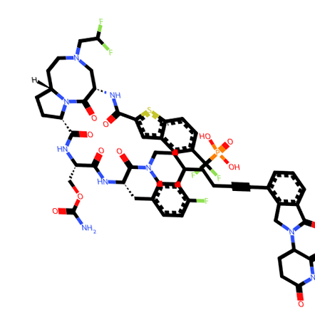 NC(=O)OC[C@H](NC(=O)[C@@H]1CC[C@@H]2CCN(CC(F)F)C[C@H](NC(=O)c3cc4cc(C(F)(F)P(=O)(O)O)ccc4s3)C(=O)N21)C(=O)N[C@@H](Cc1ccc(F)cc1)C(=O)N1CCC(CCC#Cc2cccc3c2CN(C2CCC(=O)NC2=O)C3=O)CC1